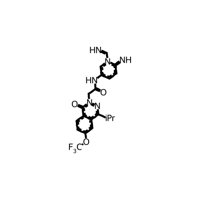 CC(C)c1nn(CC(=O)Nc2ccc(=N)n(C=N)c2)c(=O)c2ccc(OC(F)(F)F)cc12